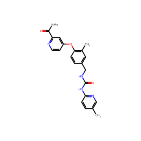 CNC(=O)c1cc(Oc2ccc(CNC(=O)Nc3ccc(C)cn3)cc2C)ccn1